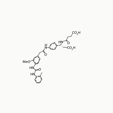 COc1cc(CC(=O)Nc2ccc([C@@H](CC(=O)O)NC(=O)CCC(=O)O)cc2)ccc1NC(=O)Nc1ccccc1C